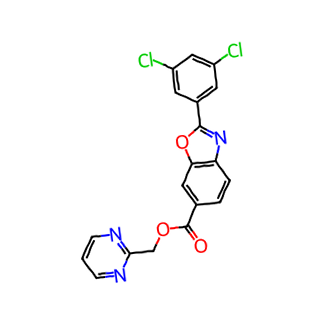 O=C(OCc1ncccn1)c1ccc2nc(-c3cc(Cl)cc(Cl)c3)oc2c1